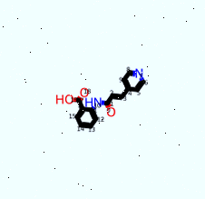 O=C(/C=C/c1ccncc1)Nc1ccccc1C(=O)O